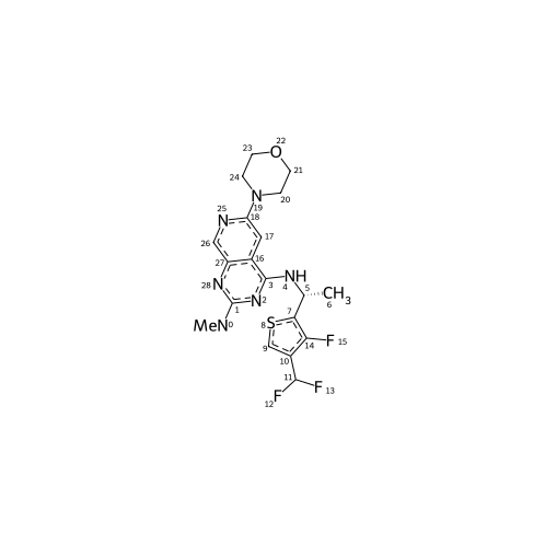 CNc1nc(N[C@H](C)c2scc(C(F)F)c2F)c2cc(N3CCOCC3)ncc2n1